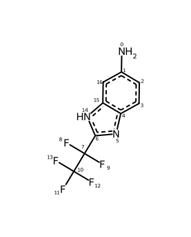 Nc1ccc2nc(C(F)(F)C(F)(F)F)[nH]c2c1